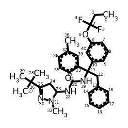 CCC(F)(F)Oc1cccc(C(Cc2ccccc2)(NC(=O)NC2CC(C(C)(C)C)=NN2C)c2cccc(C)c2)c1